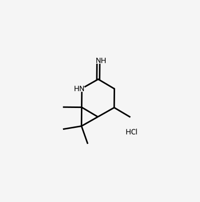 CC1CC(=N)NC2(C)C1C2(C)C.Cl